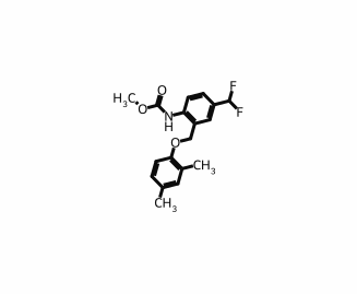 COC(=O)Nc1ccc(C(F)F)cc1COc1ccc(C)cc1C